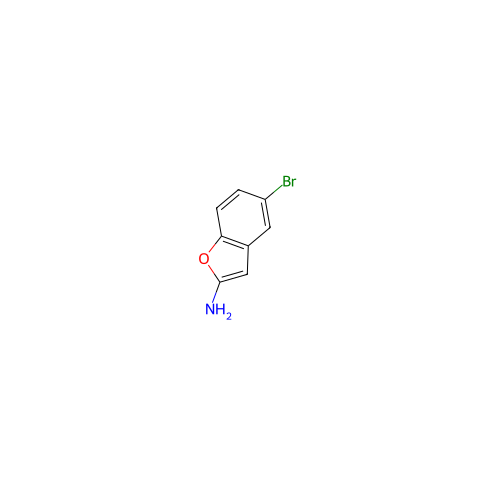 Nc1cc2cc(Br)ccc2o1